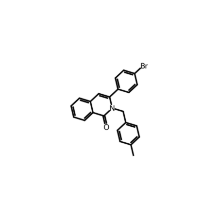 Cc1ccc(Cn2c(-c3ccc(Br)cc3)cc3ccccc3c2=O)cc1